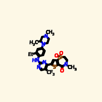 CCc1cc(N2CCN(C)CC2C)ccc1Nc1ncc(C(F)(F)F)c(-c2cc3c(s2)C(=O)N(C)CCS3(=O)=O)n1